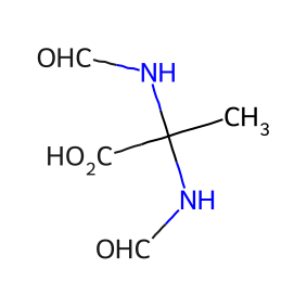 CC(NC=O)(NC=O)C(=O)O